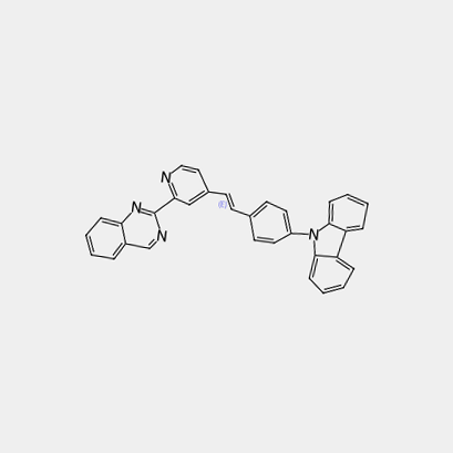 C(=C\c1ccnc(-c2ncc3ccccc3n2)c1)/c1ccc(-n2c3ccccc3c3ccccc32)cc1